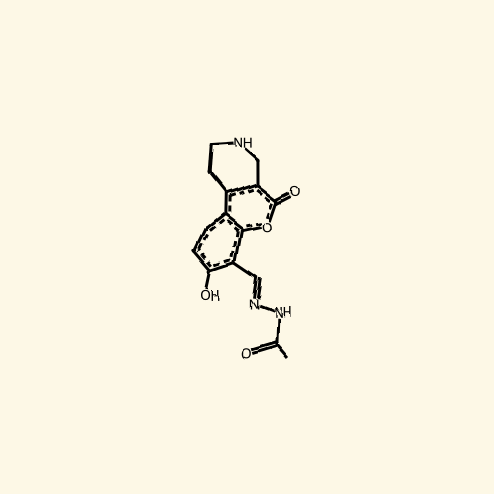 CC(=O)N/N=C/c1c(O)ccc2c3c(c(=O)oc12)CNCC3